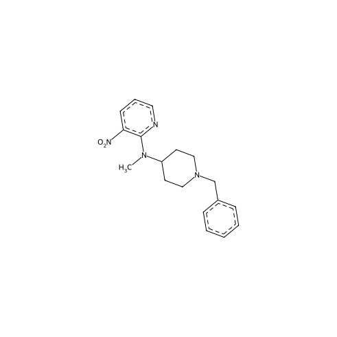 CN(c1ncccc1[N+](=O)[O-])C1CCN(Cc2ccccc2)CC1